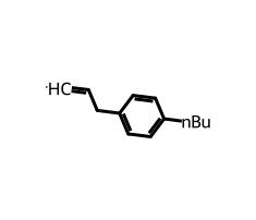 [CH]=CCc1ccc(CCCC)cc1